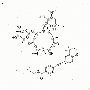 CCOC(=O)c1ccc(C#Cc2ccc3c(c2)C(C)(C)CCS3)nc1.CC[C@H]1OC(=O)[C@H](C)[C@@H](O[C@H]2C[C@@](C)(OC)[C@@H](O)[C@H](C)O2)[C@H](C)[C@@H](O[C@@H]2O[C@H](C)C[C@H](N(C)C)[C@H]2O)[C@](C)(O)C[C@@H](C)C(=O)[C@H](C)[C@@H](O)[C@]1(C)O